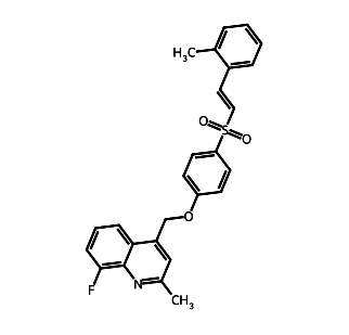 Cc1cc(COc2ccc(S(=O)(=O)C=Cc3ccccc3C)cc2)c2cccc(F)c2n1